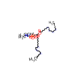 CCCCC/C=C\C/C=C\C/C=C\C/C=C\CCCCCC(=O)OC[C@H](COP(=O)([O-])OCC[N+](C)(C)C)OC(=O)CCCCCC/C=C\C/C=C\C/C=C\CCCCC